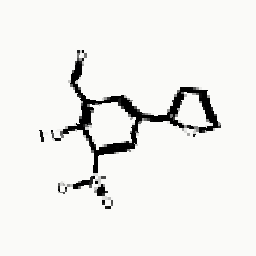 O=Cc1cc(-c2ccco2)cc([N+](=O)[O-])c1O